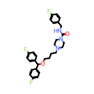 O=C(NCc1ccc(F)cc1)N1CCN(CCCCOC(c2ccc(F)cc2)c2ccc(F)cc2)CC1